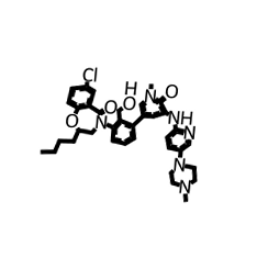 CCCCC1CN(c2cccc(-c3cc(Nc4ccc(N5CCN(C)CC5)cn4)c(=O)n(C)c3)c2CO)C(=O)c2cc(Cl)ccc2O1